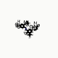 COc1c(/C=C/c2ccc(NS(C)(=O)=O)cc2-c2ncco2)cc(-n2ccc(=O)[nH]c2=O)cc1C(C)(C)C